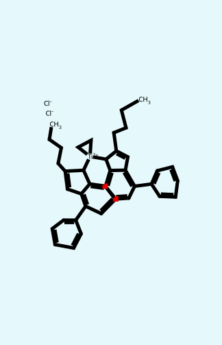 CCCCC1=Cc2c(-c3ccccc3)cccc2[CH]1[Ti+2]1([CH]2C(CCCC)=Cc3c(-c4ccccc4)cccc32)[CH2][CH2]1.[Cl-].[Cl-]